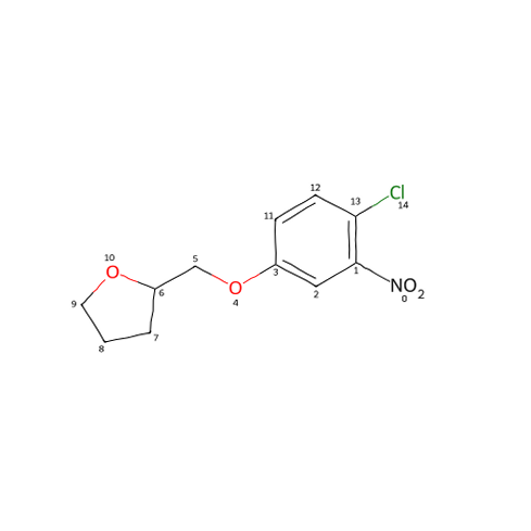 O=[N+]([O-])c1cc(OCC2CCCO2)ccc1Cl